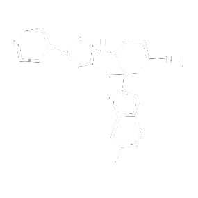 CC1=CC=C(N)CC1(Nc1ncc(-c2ccncc2)o1)c1nc2cc(Cl)ccc2o1